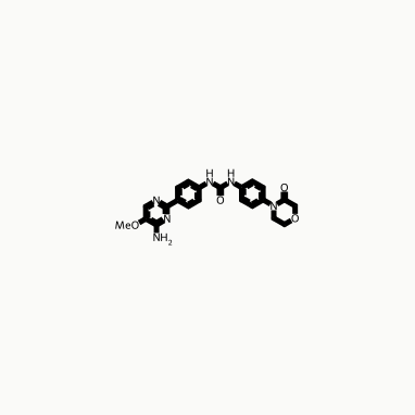 COc1cnc(-c2ccc(NC(=O)Nc3ccc(N4CCOCC4=O)cc3)cc2)nc1N